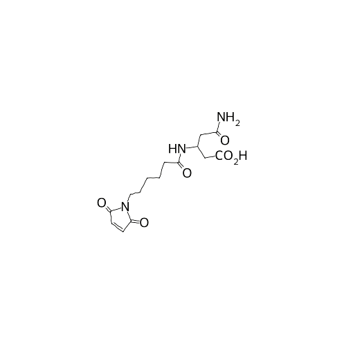 NC(=O)CC(CC(=O)O)NC(=O)CCCCCN1C(=O)C=CC1=O